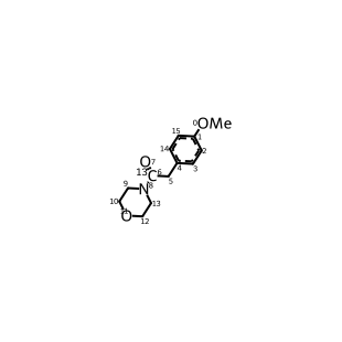 COc1ccc(C[13C](=O)N2CCOCC2)cc1